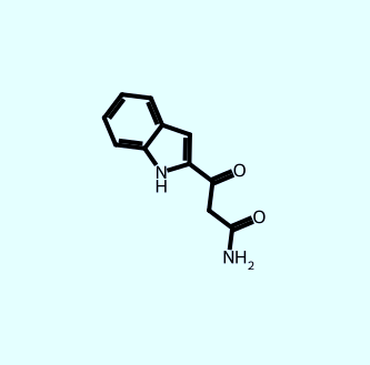 NC(=O)CC(=O)c1cc2ccccc2[nH]1